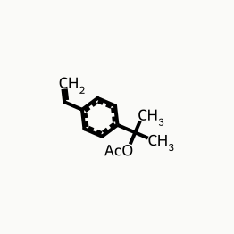 C=Cc1ccc(C(C)(C)OC(C)=O)cc1